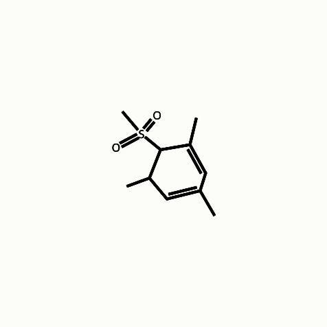 CC1=CC(C)C(S(C)(=O)=O)C(C)=C1